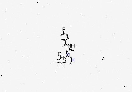 C=C(/N=C(\C=C/C)N1CCOC1=O)N[C@H](C)c1ccc(F)cc1